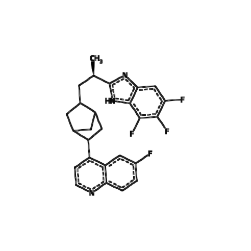 C[C@H](CC1CC2CC1CC2c1ccnc2ccc(F)cc12)c1nc2cc(F)c(F)c(F)c2[nH]1